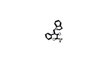 CN(C)C(=O)C(=O)/C(=C\N1CCc2ccccc21)c1ccccc1